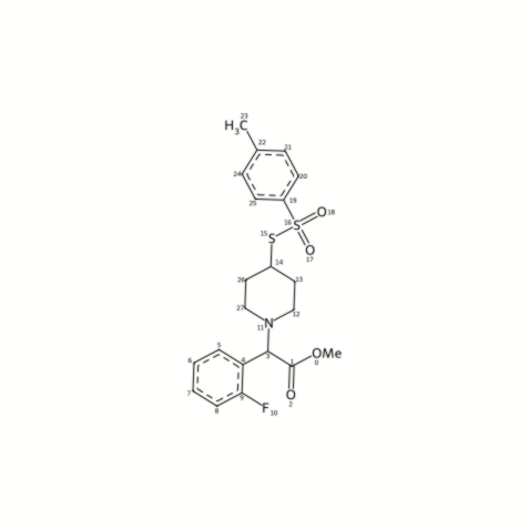 COC(=O)C(c1ccccc1F)N1CCC(SS(=O)(=O)c2ccc(C)cc2)CC1